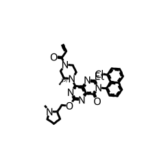 C=CC(=O)N1CCN(c2nc(OCC3CCCN3C)nc3c(=O)n(-c4cccc5cccc(Cl)c45)c(CC)nc23)[C@@H](C)C1